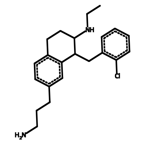 CCNC1CCc2ccc(CCCN)cc2C1Cc1ccccc1Cl